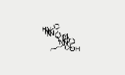 CCCCCc1cn(-c2c(Cl)cccc2C(=O)O)c(=O)n1Cc1ccc(-c2ccccc2-c2nnn[nH]2)cc1